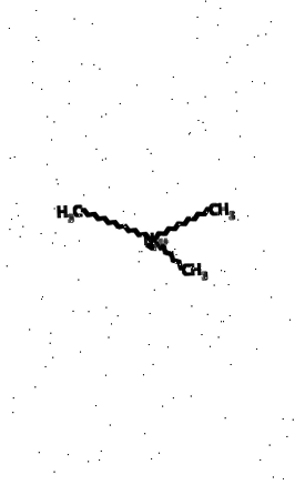 CCCCCCCCCCCCCCn1cc[n+](CCCCCCC)c1CCCCCCCCCCCC